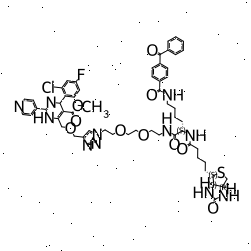 COC(=O)C1=C(COCc2cn(CCOCCOCCNC(=O)[C@H](CCCCNC(=O)c3ccc(C(=O)c4ccccc4)cc3)NC(=O)CCCC[C@@H]3SC[C@@H]4NC(=O)N[C@@H]43)nn2)NC(c2ccncc2)=NC1c1ccc(F)cc1Cl